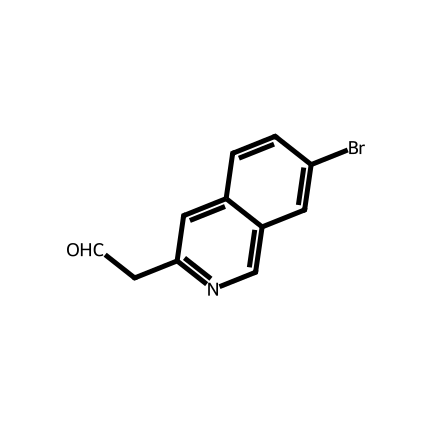 O=CCc1cc2ccc(Br)cc2cn1